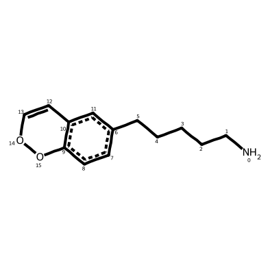 NCCCCCc1ccc2c(c1)C=COO2